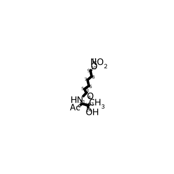 CC(=O)C(NC(=O)CCCCCO[N+](=O)[O-])C(C)O